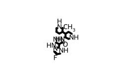 CC1NCCCC1C1CCNCC1NC(=O)C1C(N)NN2C=C(F)CNC12